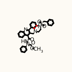 COC(=O)N(NC(=O)c1c(CN2CCN(S(=O)(=O)Cc3ccccc3)CC2)c(-c2ccccc2)nc2ccccc12)c1ccccc1